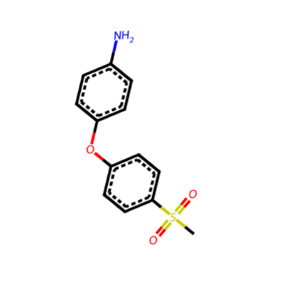 CS(=O)(=O)c1ccc(Oc2ccc(N)cc2)cc1